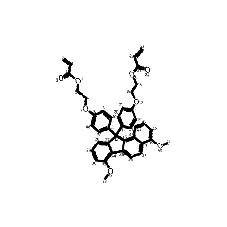 C=CC(=O)OCCOc1ccc(C2(c3ccc(OCCOC(=O)C=C)cc3)c3cccc(OC)c3-c3ccc4c(OC)cccc4c32)cc1